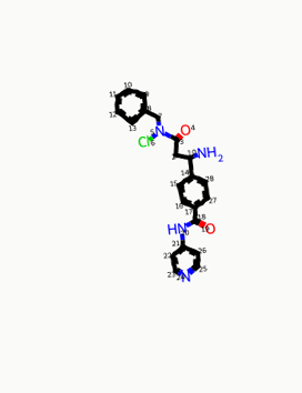 NC(CC(=O)N(Cl)Cc1ccccc1)c1ccc(C(=O)Nc2ccncc2)cc1